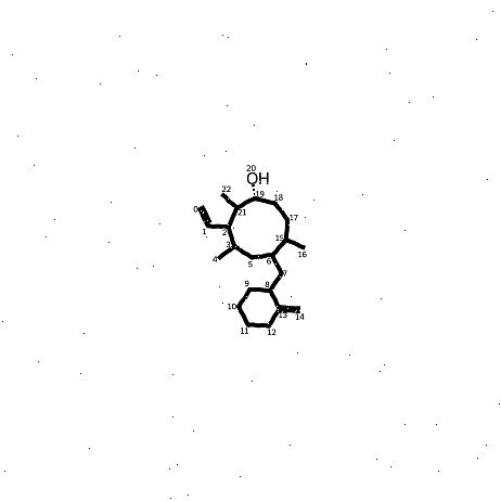 C=CC1C(C)CC(CC2CCCCC2=C)C(C)CC[C@@H](O)C1C